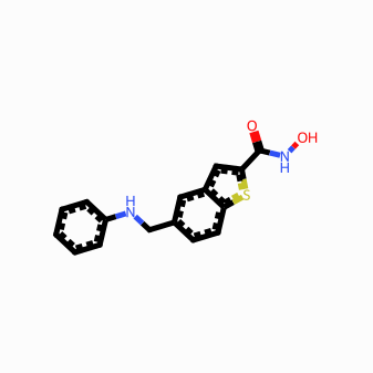 O=C(NO)c1cc2cc(CNc3ccccc3)ccc2s1